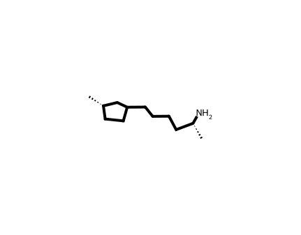 C[C@H]1CCC(CCCC[C@@H](C)N)C1